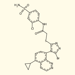 NS(=O)(=O)c1ccc(NC(=O)CSc2nnc(Br)n2-c2ccc(C3CC3)c3ccnnc23)c(Cl)c1